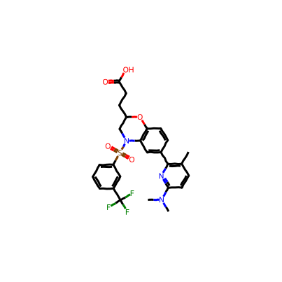 Cc1ccc(N(C)C)nc1-c1ccc2c(c1)N(S(=O)(=O)c1cccc(C(F)(F)F)c1)CC(CCC(=O)O)O2